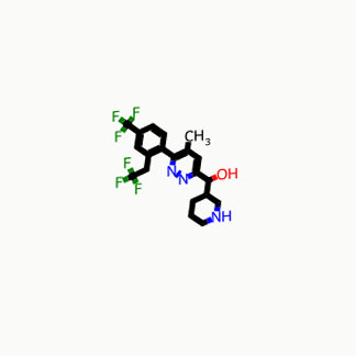 Cc1cc(C(O)C2CCCNC2)nnc1-c1ccc(C(F)(F)F)cc1CC(F)(F)F